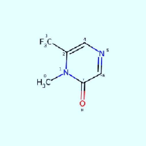 Cn1c(C(F)(F)F)cn[c]c1=O